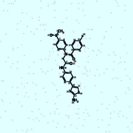 C[S+]([O-])c1ccc(N(CC(=O)Nc2ccc(-c3csc(N)n3)cc2)C(=O)c2ccc(F)cc2)cc1